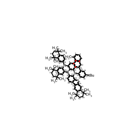 Cc1ccccc1-c1cc2c3c(c1)N(c1ccc(C(C)(C)C)cc1-c1ccccc1)c1c(ccc4c1sc1cc5c(cc14)C(C)(C)CCC5(C)C)B3c1cc3c(cc1N2c1ccc2c(c1)C(C)(C)CCC2(C)C)C(C)(C)CCC3(C)C